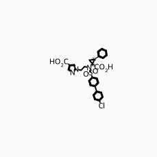 O=C(O)c1cnn(CCN([C@]2(C(=O)O)C[C@H]2c2ccccc2)S(=O)(=O)c2ccc(-c3ccc(Cl)cc3)cc2)c1